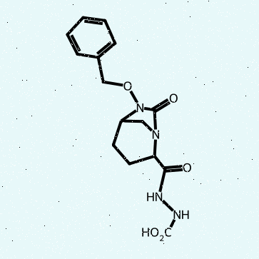 O=C(O)NNC(=O)C1CCC2CN1C(=O)N2OCc1ccccc1